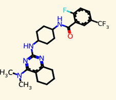 CN(C)c1nc(NC2CCC(NC(=O)c3cc(C(F)(F)F)ccc3F)CC2)nc2c1CCCC2